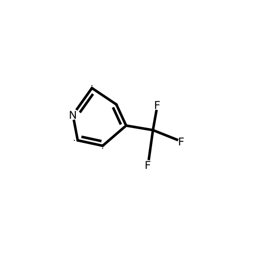 FC(F)(F)c1[c][c]n[c]c1